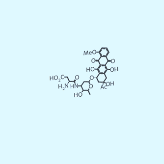 COc1cccc2c1C(=O)c1c(O)c3c(c(O)c1C2=O)C[C@@](O)(C(C)=O)C[C@@H]3OC1CC(NC(=O)[C@@H](N)CC(=O)O)C(O)C(C)O1